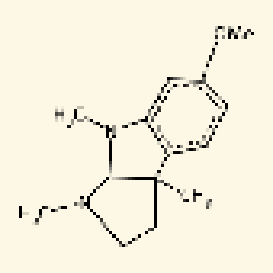 COc1ccc2c(c1)N(C)C1N(C)CCC21C